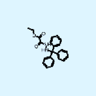 CCOC(=O)C(=O)NNC(c1ccccc1)(c1ccccc1)c1ccccc1